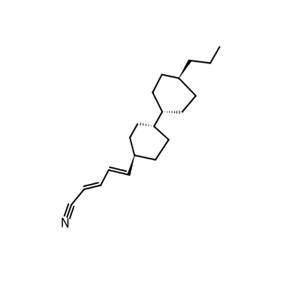 CCC[C@H]1CC[C@H]([C@H]2CC[C@H](C=CC=CC#N)CC2)CC1